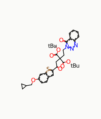 CC(C)(C)OC(=O)C(CCn1nnc2ccccc2c1=O)(CC(=O)c1cc2ccc(OCC3CC3)cc2s1)C(=O)OC(C)(C)C